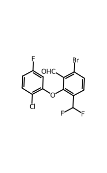 O=Cc1c(Br)ccc(C(F)F)c1Oc1cc(F)ccc1Cl